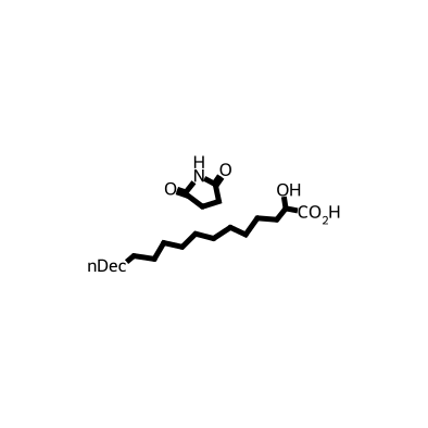 CCCCCCCCCCCCCCCCCCCCC(O)C(=O)O.O=C1CCC(=O)N1